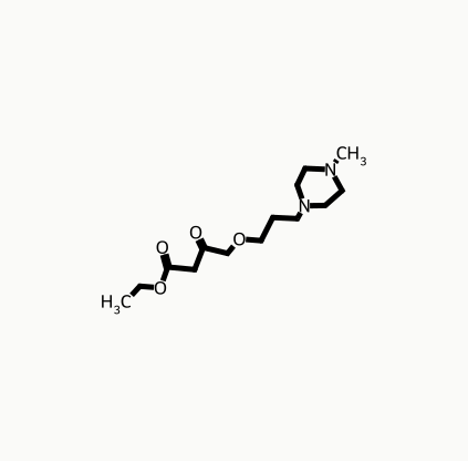 CCOC(=O)CC(=O)COCCCN1CCN(C)CC1